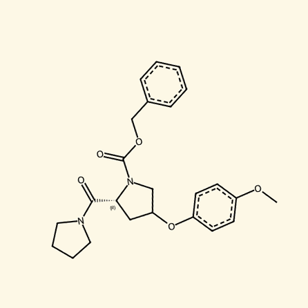 COc1ccc(OC2C[C@H](C(=O)N3CCCC3)N(C(=O)OCc3ccccc3)C2)cc1